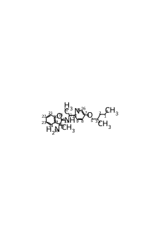 CCCC(C)COc1ccc([C@H](C)NC(=O)[C@](C)(N)c2ccccc2)nc1